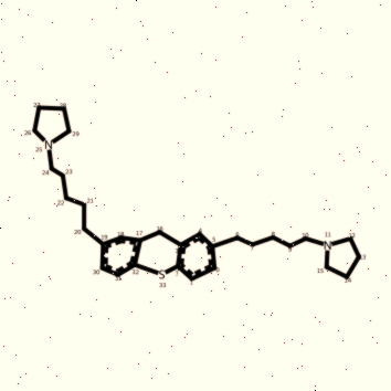 c1cc2c(cc1CCCCCN1CCCC1)Cc1cc(CCCCCN3CCCC3)ccc1S2